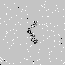 Cc1cc(-c2ccc(C(F)(F)F)cc2)nc2c(OC(=O)Nc3cccc(S(C)(=O)=O)c3)cnn12